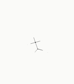 CC(O)C(F)(F)Cl